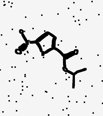 CC(C)OC(=O)c1ccc([N+](=O)[O-])s1